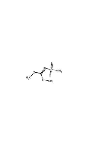 CSC(=NS(N)(=O)=O)SC